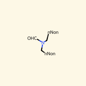 CCCCCCCCCCN(C=O)CCCCCCCCCC